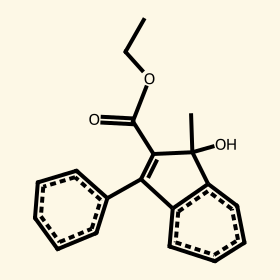 CCOC(=O)C1=C(c2ccccc2)c2ccccc2C1(C)O